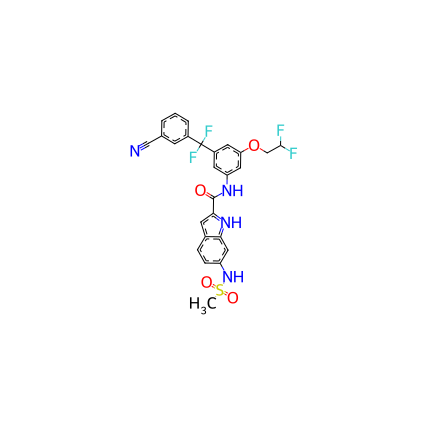 CS(=O)(=O)Nc1ccc2cc(C(=O)Nc3cc(OCC(F)F)cc(C(F)(F)c4cccc(C#N)c4)c3)[nH]c2c1